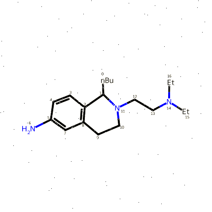 CCCCC1c2ccc(N)cc2CCN1CCN(CC)CC